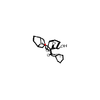 NC(=O)C1C=CC=CC1(O)C1CC2CCC(C1)N2CCN(CC1CCCCC1)C(=O)CO